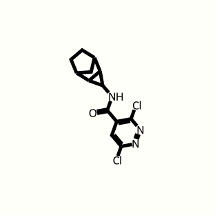 O=C(NC1C2C3CCC(C3)C12)c1cc(Cl)nnc1Cl